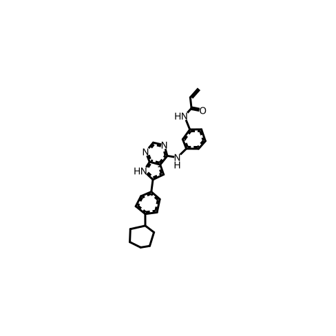 C=CC(=O)Nc1cccc(Nc2ncnc3[nH]c(-c4ccc(C5CCCCC5)cc4)cc23)c1